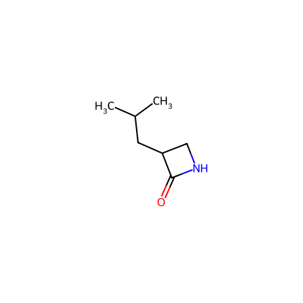 CC(C)CC1CNC1=O